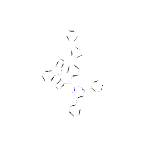 c1ccc(-c2cc(-c3ccccc3)nc(N3c4ccccc4C4(c5ccccc5-c5ccc(-c6cccc7c6oc6ccccc67)cc54)c4ccccc43)n2)cc1